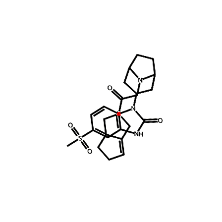 CS(=O)(=O)c1ccc2c(c1)[nH]c(=O)n2C1CC2CCC(C1)N2CC(=O)N1CC2=CCCC2C1